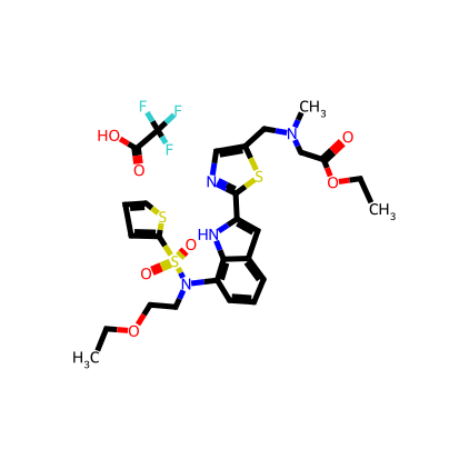 CCOCCN(c1cccc2cc(-c3ncc(CN(C)CC(=O)OCC)s3)[nH]c12)S(=O)(=O)c1cccs1.O=C(O)C(F)(F)F